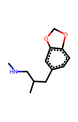 CNCC(C)Cc1ccc2c(c1)OCO2